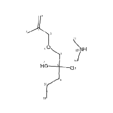 C=C(C)COCC(O)(Cl)CCC.CNC